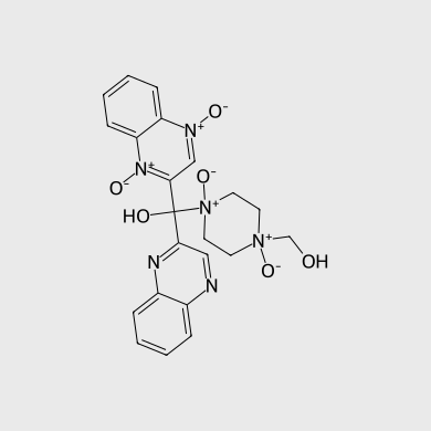 [O-][n+]1cc(C(O)(c2cnc3ccccc3n2)[N+]2([O-])CC[N+]([O-])(CO)CC2)[n+]([O-])c2ccccc21